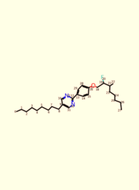 CCCCCCCCCc1cnc(-c2ccc(OCC(F)C(C)CCCCC)cc2)nc1